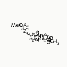 COc1cccc(CC#Cc2ccc3ncn(Cc4ccc(S(C)(=O)=O)cc4)c(=O)c3c2)c1